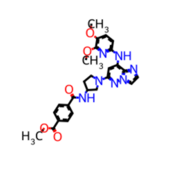 COC(=O)c1ccc(C(=O)NC2CCN(c3cc(Nc4ccc(OC)c(OC)n4)c4nccn4n3)C2)cc1